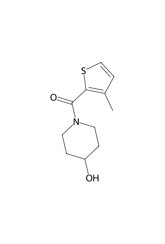 Cc1ccsc1C(=O)N1CCC(O)CC1